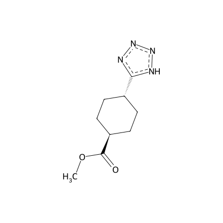 COC(=O)[C@H]1CC[C@H](c2nnn[nH]2)CC1